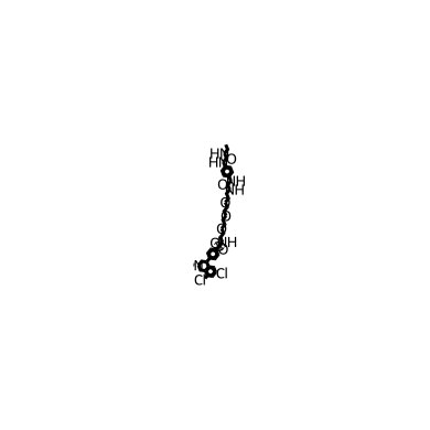 CCNC(=O)Nc1ccc(NC(=O)NCCOCCOCCOCCNS(=O)(=O)c2ccc(C3CN(C)Cc4c(Cl)cc(Cl)cc43)cc2)cc1